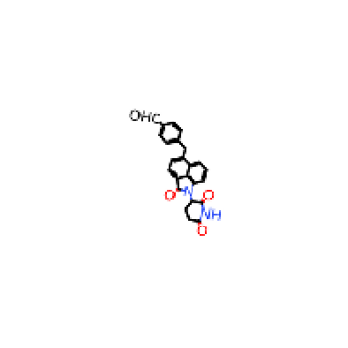 O=Cc1ccc(Cc2ccc3c4c(cccc24)N(C2CCC(=O)NC2=O)C3=O)cc1